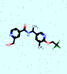 Cc1cc(C(C)NC(=O)c2ccnc(CO)c2)cnc1OCC(F)(F)F